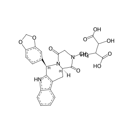 CN1CC(=O)N2[C@H](c3ccc4c(c3)OCO4)c3[nH]c4ccccc4c3C[C@@H]2C1=O.O=C(O)C(O)C(O)C(=O)O